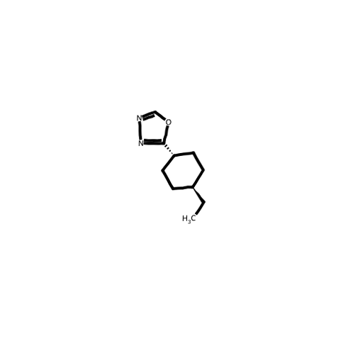 CC[C@H]1CC[C@H](c2nnco2)CC1